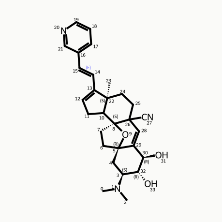 CN(C)[C@H]1C[C@@]23CC[C@]4(O2)C2CC=C(/C=C/c5cccnc5)[C@@]2(C)CCC4(C#N)C=C3[C@@H](O)[C@@H]1O